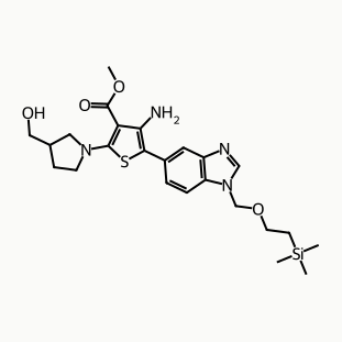 COC(=O)c1c(N2CCC(CO)C2)sc(-c2ccc3c(c2)ncn3COCC[Si](C)(C)C)c1N